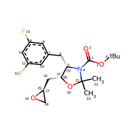 CC(C)(C)OC(=O)N1[C@@H](Cc2cc(F)cc(F)c2)[C@@H](C[C@H]2CO2)OC1(C)C